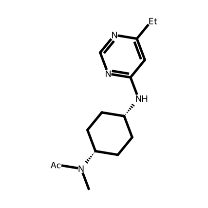 CCc1cc(N[C@H]2CC[C@@H](N(C)C(C)=O)CC2)ncn1